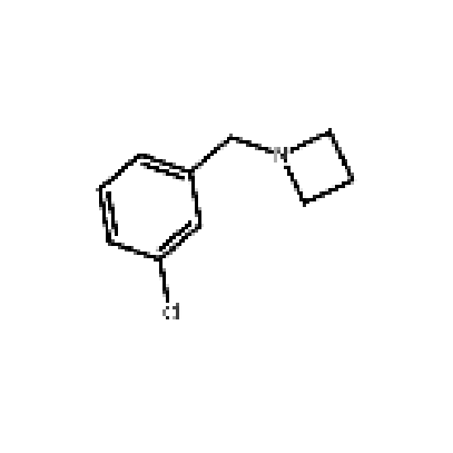 Clc1cccc(CN2CCC2)c1